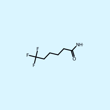 [NH]C(=O)CCCCC(F)(F)F